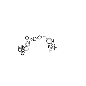 O=C(N1CC2(CC(Cc3ccc(OC(F)(F)F)nc3)C2)C1)N1CC2(CCS(=O)(=O)N2)C1